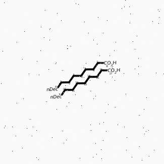 CCCCCCCCCCCCCCCCCC(=O)O.CCCCCCCCCCCCCCCCCC(=O)O